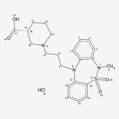 CN1c2ccccc2N(CCCN2CCC[C@@H](C(=O)O)C2)c2ccccc2S1(=O)=O.Cl